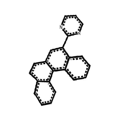 c1cnc(-c2cc3ccc4ccccc4c3c3ccccc23)nc1